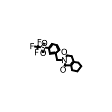 O=C1CC2=C(CCCC2)C(=O)N1Cc1cccc(S(=O)(=O)C(F)(F)F)c1